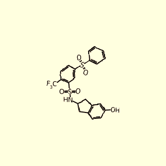 O=S(=O)(NC1Cc2ccc(O)cc2C1)c1cc(S(=O)(=O)c2ccccc2)ccc1C(F)(F)F